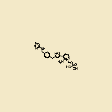 Nc1c(-c2cc(Cc3ccc(CNc4ncns4)cc3)no2)ccc[n+]1COP(=O)(O)O